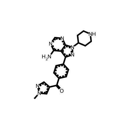 Cn1cc(C(=O)c2ccc(-c3nn(C4CCNCC4)c4ncnc(N)c34)cc2)cn1